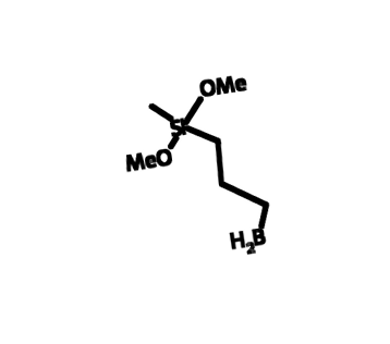 BCCC[Si](C)(OC)OC